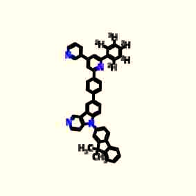 [2H]c1c([2H])c([2H])c(-c2cc(-c3cccnc3)cc(-c3ccc(-c4ccc5c(c4)c4cnccc4n5-c4ccc5c(c4)C(C)(C)c4ccccc4-5)cc3)n2)c([2H])c1[2H]